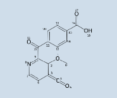 COC1C(=C=O)C=CN=C1C(=O)c1ccc(C(=O)O)cc1